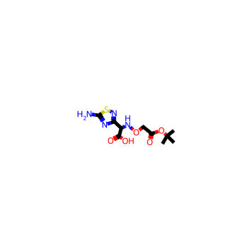 CC(C)(C)OC(=O)CONC(C(=O)O)c1nsc(N)n1